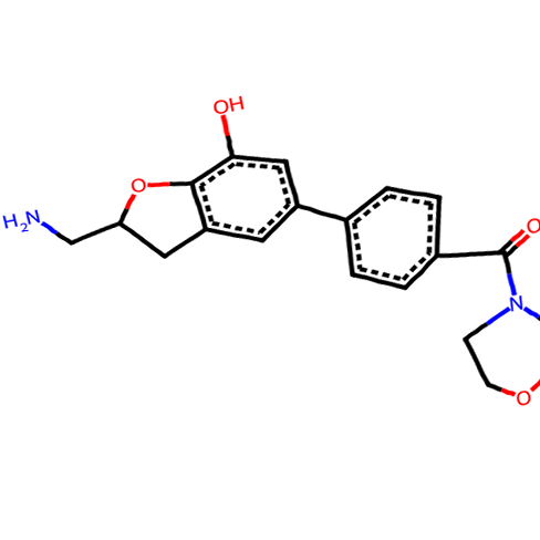 NCC1Cc2cc(-c3ccc(C(=O)N4CCOCC4)cc3)cc(O)c2O1